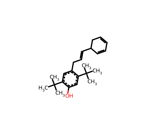 CC(C)(C)c1cc(CC=CC2C=CC=CC2)c(C(C)(C)C)cc1O